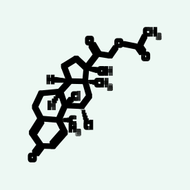 CC(=O)OCC(=O)[C@@]1(O)CC[C@H]2[C@@H]3CCC4=CC(=O)C=C[C@]4(C)[C@@]3(Cl)[C@@H](Cl)C[C@@]21C